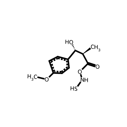 COc1ccc([C@H](O)[C@@H](C)C(=O)ONS)cc1